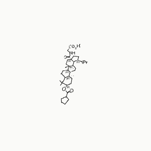 CC(C)[C@@H]1CC[C@]2(C(=O)NCC(=O)O)CC[C@]3(C)C(CCC4[C@@]5(C)CC[C@@H](OC(=O)C6CCCC6)C(C)(C)C5CC[C@]43C)C12